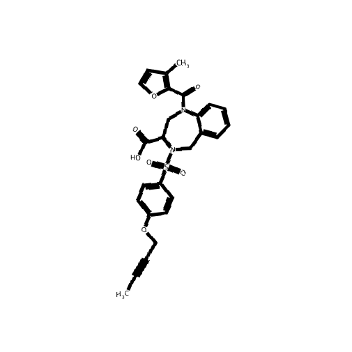 CC#CCOc1ccc(S(=O)(=O)N2Cc3ccccc3N(C(=O)c3occc3C)CC2C(=O)O)cc1